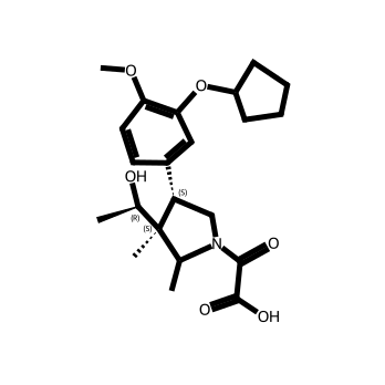 COc1ccc([C@@H]2CN(C(=O)C(=O)O)C(C)[C@@]2(C)[C@@H](C)O)cc1OC1CCCC1